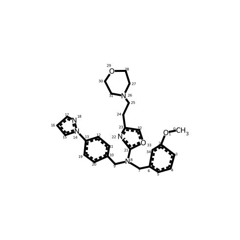 COc1cccc(CN(Cc2ccc(-n3cccn3)cc2)c2nc(CCN3CCOCC3)co2)c1